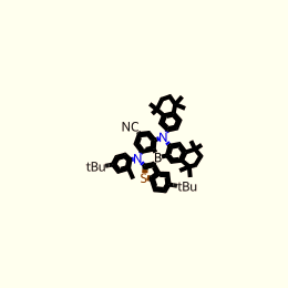 Cc1cc(C(C)(C)C)ccc1N1c2cc(C#N)cc3c2B(c2cc4c(cc2N3c2ccc3c(c2)C(C)(C)CCC3(C)C)C(C)(C)CCC4(C)C)c2c1sc1ccc(C(C)(C)C)cc21